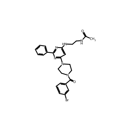 CC(=O)NCCNc1cc(N2CCN(C(=O)c3cccc(Br)c3)CC2)nc(-c2ccccc2)n1